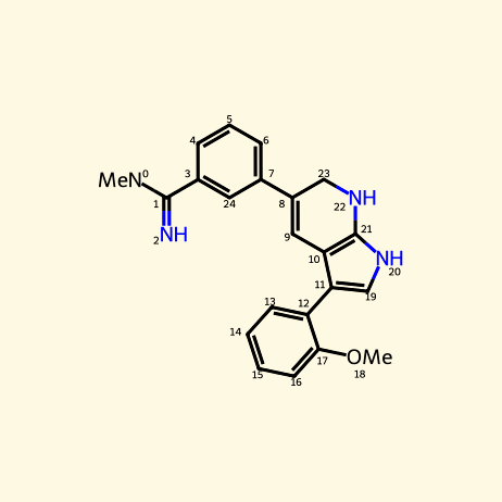 CNC(=N)c1cccc(C2=Cc3c(-c4ccccc4OC)c[nH]c3NC2)c1